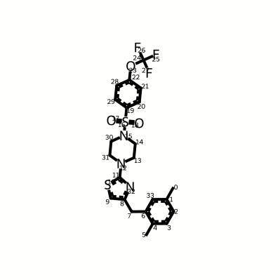 Cc1ccc(C)c(Cc2csc(N3CCN(S(=O)(=O)c4ccc(OC(F)(F)F)cc4)CC3)n2)c1